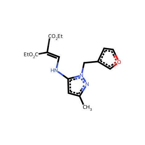 CCOC(=O)C(=CNc1cc(C)nn1Cc1ccoc1)C(=O)OCC